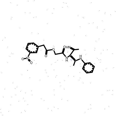 CC(=N)/C(NC(=O)COC(=O)Cc1cccc([N+](=O)[O-])c1)=C(/C)Nc1ccccc1